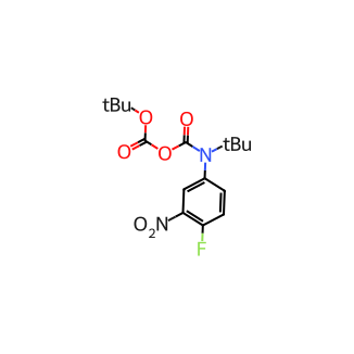 CC(C)(C)OC(=O)OC(=O)N(c1ccc(F)c([N+](=O)[O-])c1)C(C)(C)C